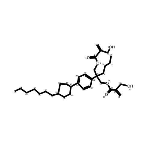 C=C(CO)C(=O)OCC(CCCC)(COC(=O)C(=C)CO)c1ccc(C2CCC(CCCCCCC)CC2)cc1